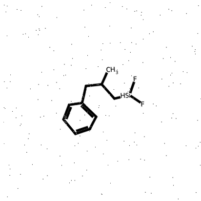 CC(Cc1ccccc1)C[SiH](F)F